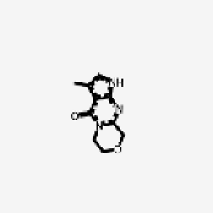 Cc1c[nH]c2nc3n(c(=O)c12)CCOC3